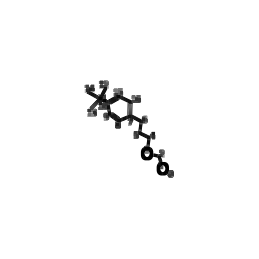 COCOCCCc1ccc(C(C)(C)C)cc1